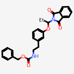 CCC(Oc1cccc(CCNC(=O)OCc2ccccc2)c1)N1C(=O)c2ccccc2C1=O